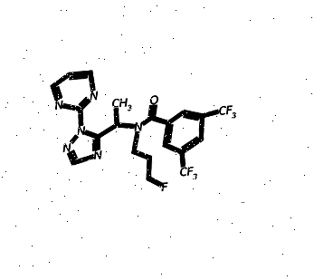 CC(c1ncnn1-c1ncccn1)N(CCCF)C(=O)c1cc(C(F)(F)F)cc(C(F)(F)F)c1